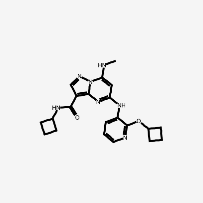 CNc1cc(Nc2cccnc2OC2CCC2)nc2c(C(=O)NC3CCC3)cnn12